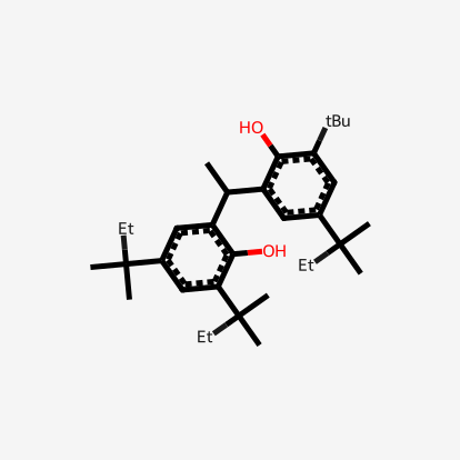 CCC(C)(C)c1cc(C(C)c2cc(C(C)(C)CC)cc(C(C)(C)CC)c2O)c(O)c(C(C)(C)C)c1